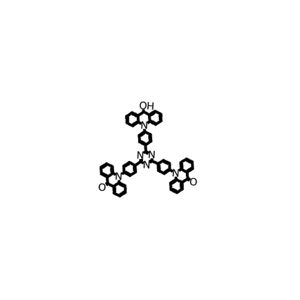 O=c1c2ccccc2n(-c2ccc(-c3nc(-c4ccc(N5c6ccccc6C(O)c6ccccc65)cc4)nc(-c4ccc(-n5c6ccccc6c(=O)c6ccccc65)cc4)n3)cc2)c2ccccc12